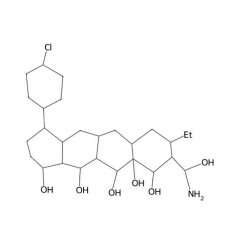 CCC1CC2CC3CC4C(C5CCC(Cl)CC5)CCC(O)C4C(O)C3C(O)C2(O)C(O)C1C(N)O